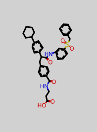 O=C(O)CCNC(=O)c1ccc(CC(C(=O)Nc2cccc(S(=O)(=O)Cc3ccccc3)c2)c2ccc(C3CCCCC3)cc2)cc1